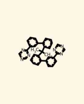 CC(C)(c1ccccc1-c1cccc(-c2ncncn2)c1)c1ccccc1-c1cccc(-c2ncncn2)c1